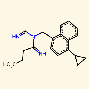 N=CN(Cc1ccc(C2CC2)c2ccccc12)C(=N)CCC(=O)O